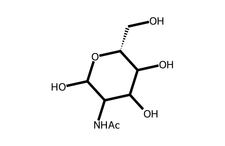 CC(=O)NC1C(O)O[C@H](CO)C(O)C1O